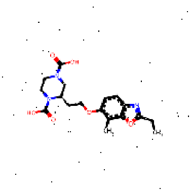 CCc1nc2ccc(OCC[C@@H]3CN(C(=O)O)CCN3C(=O)O)c(C)c2o1